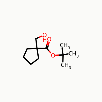 CC(C)(C)OC(=O)C1(CO)CCCC1